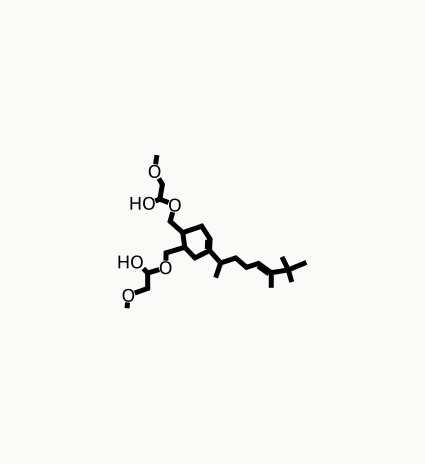 COCC(O)OCC1CC=C(C(C)CC/C=C(\C)C(C)(C)C)CC1COC(O)COC